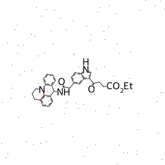 CCOC(=O)CCC(=O)c1c[nH]c2ccc(CC(=O)NC(c3ccccc3)c3ccccc3N3CCCCC3)cc12